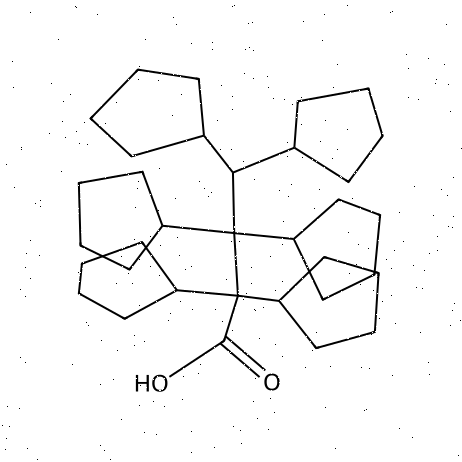 O=C(O)C(C1CCCC1)(C1CCCC1)C(C1CCCC1)(C1CCCC1)C(C1CCCC1)C1CCCC1